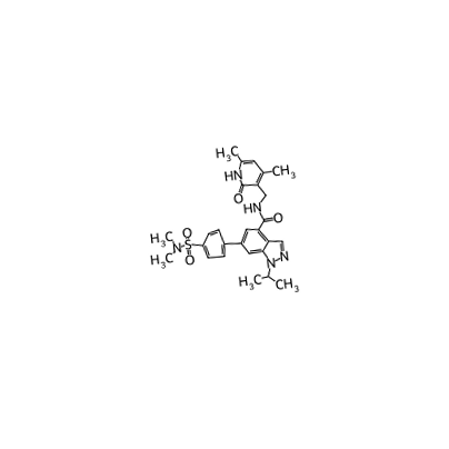 Cc1cc(C)c(CNC(=O)c2cc(-c3ccc(S(=O)(=O)N(C)C)cc3)cc3c2cnn3C(C)C)c(=O)[nH]1